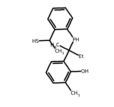 CCC(C)(Pc1ccccc1C(C)S)c1cccc(C)c1O